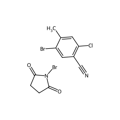 Cc1cc(Cl)c(C#N)cc1Br.O=C1CCC(=O)N1Br